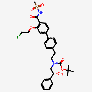 CC(C)(C)OC(=O)N(CCc1ccc(-c2ccc(C(=O)NS(C)(=O)=O)c(OCCF)c2)cc1)C[C@H](O)c1ccccc1